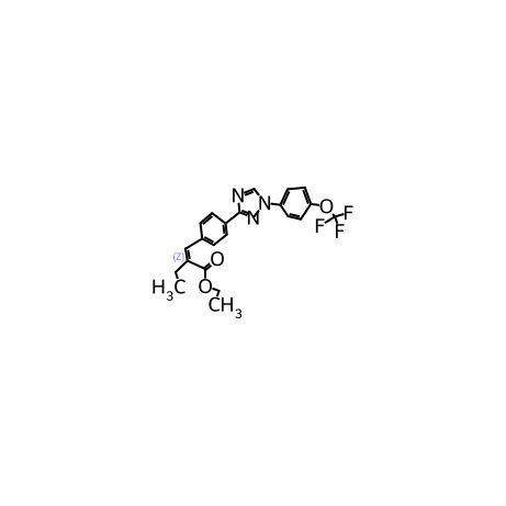 CCOC(=O)/C(=C\c1ccc(-c2ncn(-c3ccc(OC(F)(F)F)cc3)n2)cc1)CC